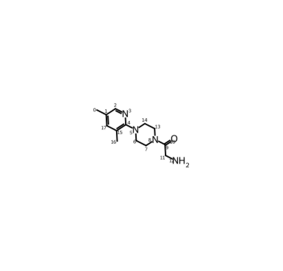 Cc1cnc(N2CCN(C(=O)CN)CC2)c(C)c1